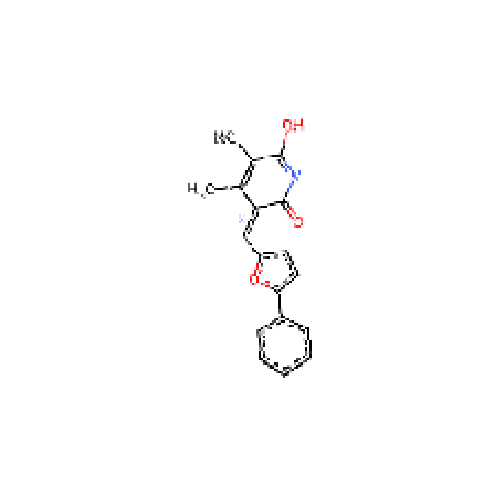 CC1=C(C#N)C(O)=NC(=O)/C1=C\c1ccc(-c2ccccc2)o1